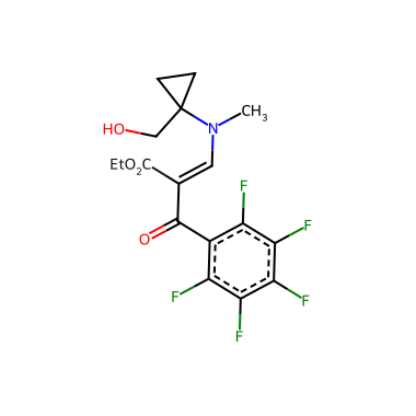 CCOC(=O)C(=CN(C)C1(CO)CC1)C(=O)c1c(F)c(F)c(F)c(F)c1F